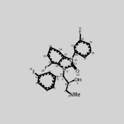 CNC[C@H](O)[C@H](c1cccc(F)c1)n1c(=O)n(-c2cccc(F)c2)c2cccc(F)c21